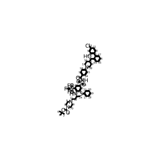 CC(C)(C)OC(=O)N1CCN(CCC(CSc2ccccc2)Nc2ccc(S(=O)(=O)NC(=O)c3ccc(N4CCC(C(O)c5ccccc5-c5ccc(Cl)cc5)CC4)cc3)cc2S(=O)(=O)C(F)(F)F)CC1